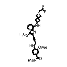 CNC(=O)c1ccc(NCC#Cc2nc3c(NC4CC5(C4)CN(CC(F)F)C5)cccn3c2SC(F)(F)F)c(OC)c1